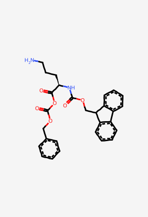 NCCC[C@@H](NC(=O)OCC1c2ccccc2-c2ccccc21)C(=O)OC(=O)OCc1ccccc1